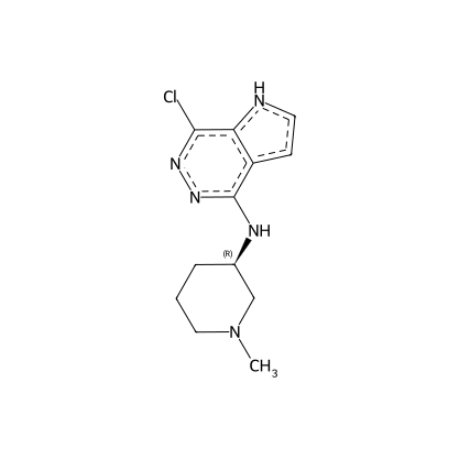 CN1CCC[C@@H](Nc2nnc(Cl)c3[nH]ccc23)C1